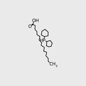 C1CCC(PC2CCCCC2)CC1.CCCCCCCCCCCCCCCC(=O)O